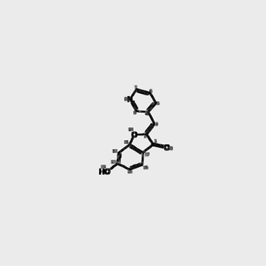 O=C1/C(=C/c2cccnc2)Oc2cc(O)ccc21